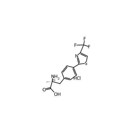 C[C@](N)(Cc1ccc(-c2nc(C(F)(F)F)cs2)cc1)C(=O)O.Cl